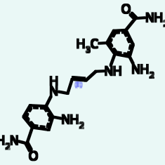 Cc1cc(C(N)=O)cc(N)c1NC/C=C/CNc1ccc(C(N)=O)cc1N